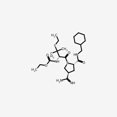 CCOC(=O)N[C@@H](C(=O)N1C[C@H](C(=N)N)C[C@H]1C(=O)NCC1CCCCC1)C(C)(C)SCC